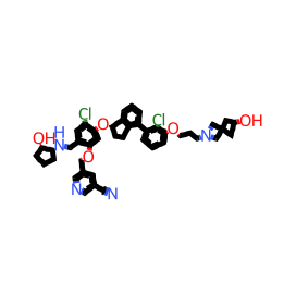 N#Cc1cncc(COc2cc(O[C@H]3CCc4c(-c5cccc(OCCCN6CC7(CC(O)C7)C6)c5Cl)cccc43)c(Cl)cc2CN[C@H]2CCC[C@@H]2O)c1